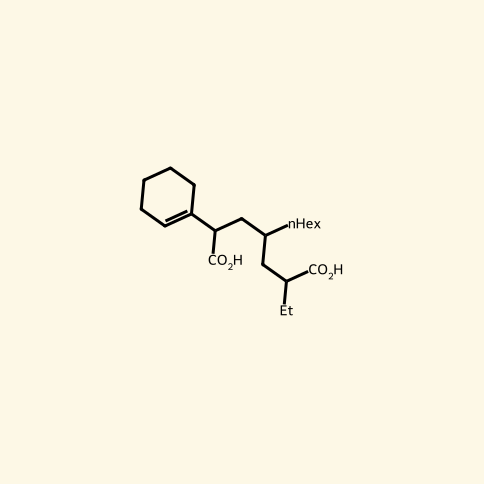 CCCCCCC(CC(CC)C(=O)O)CC(C(=O)O)C1=CCCCC1